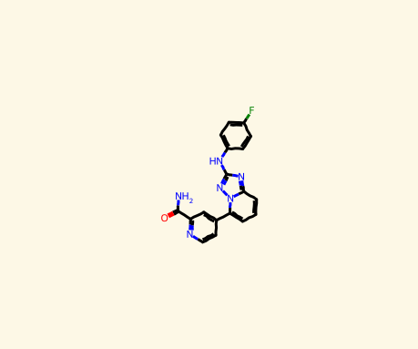 NC(=O)c1cc(-c2cccc3nc(Nc4ccc(F)cc4)nn23)ccn1